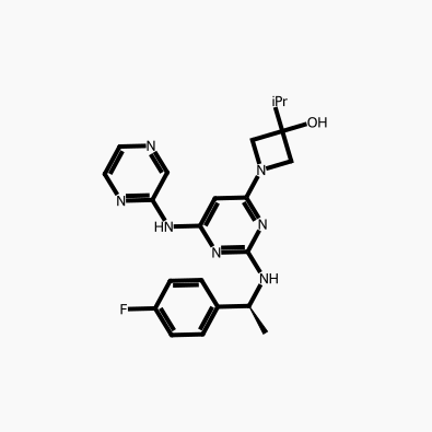 CC(C)C1(O)CN(c2cc(Nc3cnccn3)nc(N[C@@H](C)c3ccc(F)cc3)n2)C1